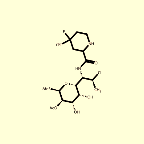 CCCC1(F)CCNC(C(=O)N[C@@H]([C@H]2O[C@H](SC)[C@H](OC(C)=O)[C@@H](O)[C@H]2O)[C@H](C)Cl)C1